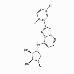 [CH2][C@@H]1C[C@@H](Nc2ccnc3cc(-c4cc(Cl)ccc4C)nn23)[C@H](O)[C@@H]1O